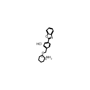 Cl.N[C@@H]1CCCC[C@@H]1OCc1ccc(-c2nc3ccccc3o2)cc1